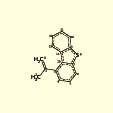 C=C(C)c1cccc2sc3ccccc3c12